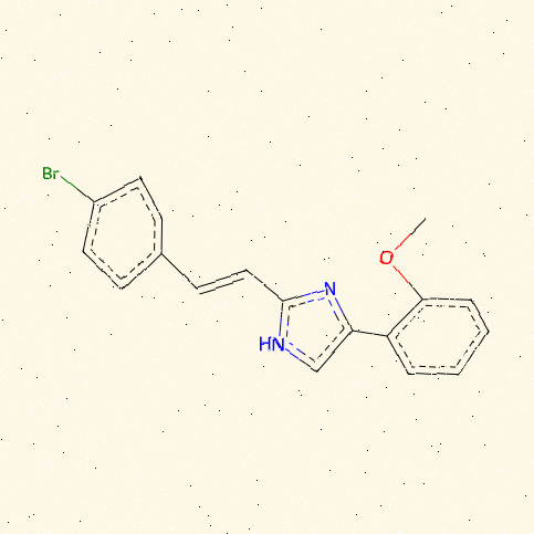 COc1ccccc1-c1c[nH]c(/C=C/c2ccc(Br)cc2)n1